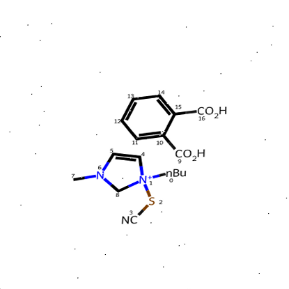 CCCC[N+]1(SC#N)C=CN(C)C1.O=C(O)c1ccccc1C(=O)O